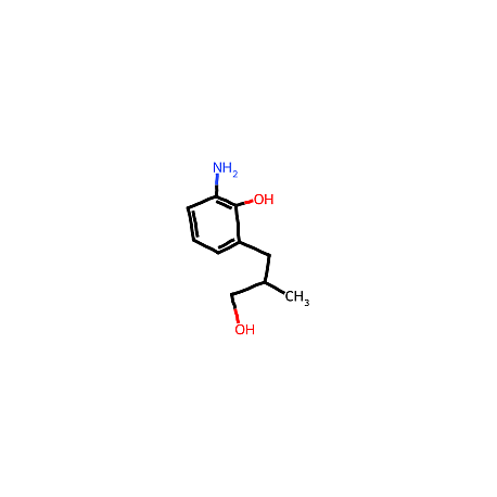 CC(CO)Cc1cccc(N)c1O